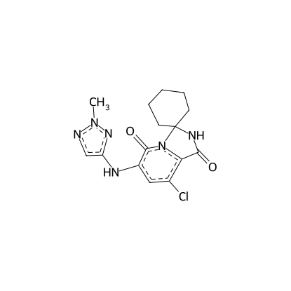 Cn1ncc(Nc2cc(Cl)c3n(c2=O)C2(CCCCC2)NC3=O)n1